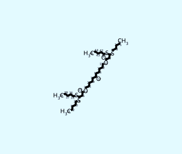 CCCCCSC(CC(=O)OCCCCCC(=O)CCCCCOC(=O)CC(SCCCCC)SCCCCC)SCCCCC